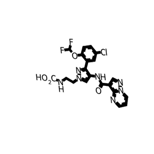 O=C(O)NCCn1cc(NC(=O)c2cnn3cccnc23)c(-c2cc(Cl)ccc2OC(F)F)n1